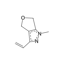 C=Cc1nn(C)c2c1COC2